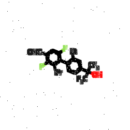 CCc1cc(C(O)(C(F)(F)F)C(F)(F)F)ccc1-c1c(F)cc(C=O)c(F)c1C(C)C